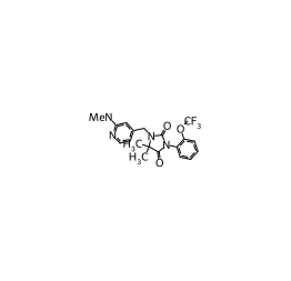 CNc1cc(CN2C(=O)N(c3ccccc3OC(F)(F)F)C(=O)C2(C)C)ccn1